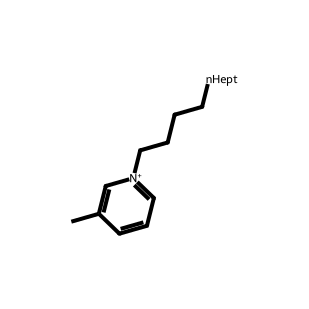 CCCCCCCCCCC[n+]1cccc(C)c1